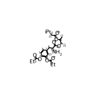 CCC(=O)Oc1ccc(C[C@H](N)C(=O)O[C@@H](C)C(C)OC(=O)CC(C)C)cc1OC(=O)CC